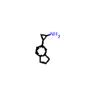 NC1CC1c1ccc2c(c1)CC=C2